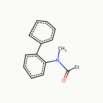 CCC(=O)N(C)c1ccccc1-c1ccccc1